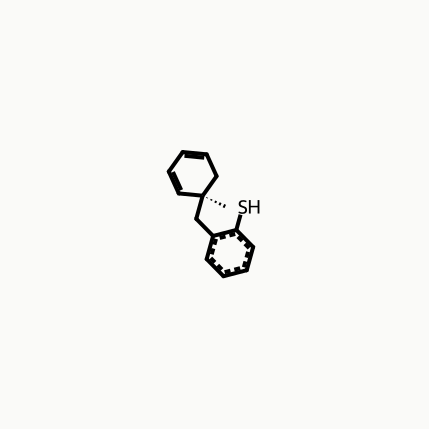 C[C@]1(Cc2ccccc2S)C=CC=CC1